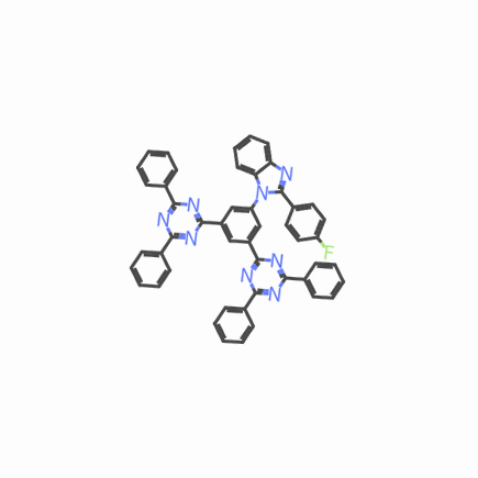 Fc1ccc(-c2nc3ccccc3n2-c2cc(-c3nc(-c4ccccc4)nc(-c4ccccc4)n3)cc(-c3nc(-c4ccccc4)nc(-c4ccccc4)n3)c2)cc1